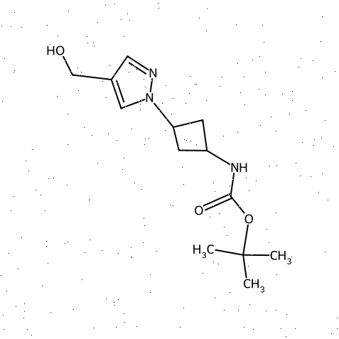 CC(C)(C)OC(=O)NC1CC(n2cc(CO)cn2)C1